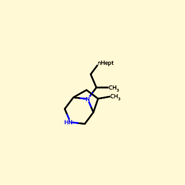 CCCCCCCCC(C)N1C2CNCC1C(C)C2